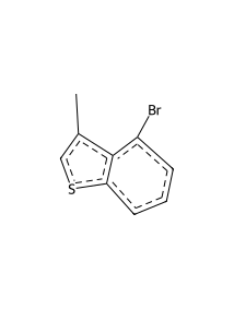 Cc1csc2cccc(Br)c12